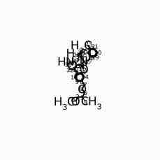 COC[C@H](C)COCc1ccc(C2=C(C(=O)N(Cc3cccc(C)c3C)C3CC3)CNCC2)cc1